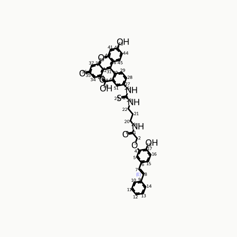 O=C(COc1cc(/C=C/c2ccccc2)ccc1O)NCCCNC(=S)Nc1ccc(-c2c3ccc(=O)cc-3oc3cc(O)ccc23)c(C(=O)O)c1